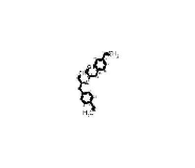 C=Cc1ccc(CC(C=C)OC(C=C)Cc2ccc(C=C)cc2)cc1